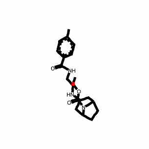 CCOC(=O)N1C2CCC1CC(NCCNC(=O)c1ccc(C)cc1)C2